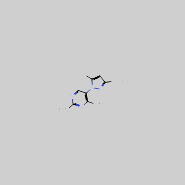 CCOC(=O)c1cc(C(C)C)n(-c2cnc(NC)nc2OC)n1